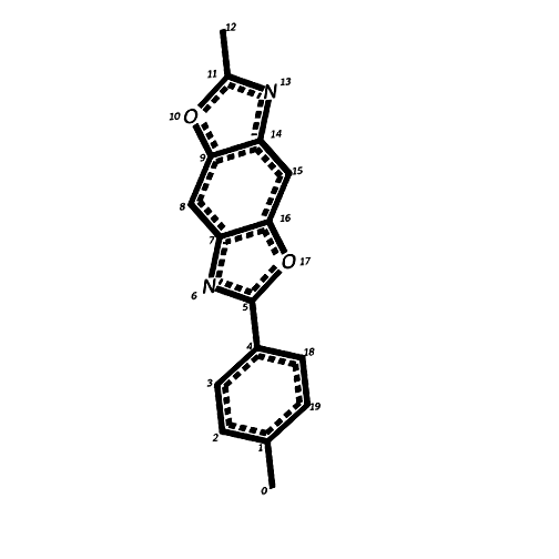 Cc1ccc(-c2nc3cc4oc(C)nc4cc3o2)cc1